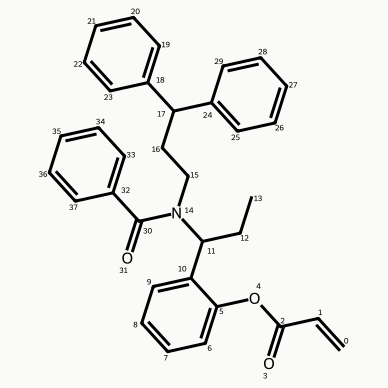 C=CC(=O)Oc1ccccc1C(CC)N(CCC(c1ccccc1)c1ccccc1)C(=O)c1ccccc1